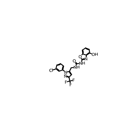 O=C(NCc1cc(C(F)(F)F)nn1-c1cccc(Cl)c1)Nc1nc2c(O)cccc2o1